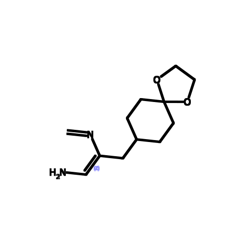 C=N/C(=C\N)CC1CCC2(CC1)OCCO2